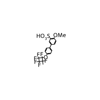 COc1ccc(-c2ccc(OC3(F)C(C)(F)C(F)(F)C3(F)F)cc2)cc1S(=O)(=O)O